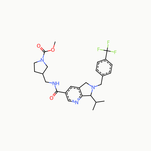 COC(=O)N1CCC(CNC(=O)c2cnc3c(c2)CN(Cc2ccc(C(F)(F)F)cc2)C3C(C)C)C1